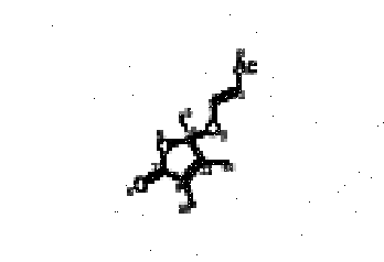 CC(=O)/C=C/O[C@]1(C)OC(=O)C(C)=C1C